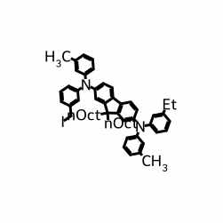 CCCCCCCCC1(CCCCCCCC)c2cc(N(c3cccc(C)c3)c3cccc(CC)c3)ccc2-c2ccc(N(c3cccc(C)c3)c3cccc(CI)c3)cc21